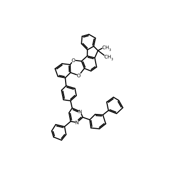 CC1(C)c2ccccc2-c2c1ccc1c2Oc2cccc(-c3ccc(-c4cc(-c5ccccc5)nc(-c5cccc(-c6ccccc6)c5)n4)cc3)c2O1